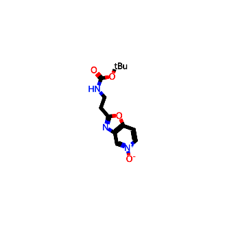 CC(C)(C)OC(=O)NCCc1nc2c[n+]([O-])ccc2o1